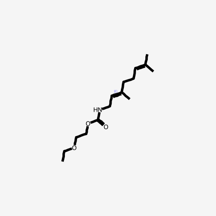 CCOCCOC(=O)NC/C=C(\C)CCC=C(C)C